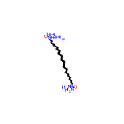 NC(=O)N(N)CCCCCCCCCCCCCCCCCCCCCCN(N)C(N)=O